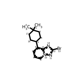 CC1(C)CCC(c2cccn3nc(Br)nc23)CC1